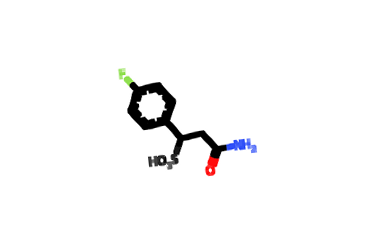 NC(=O)CC(c1ccc(F)cc1)S(=O)(=O)O